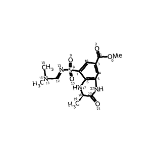 COC(=O)c1cc2c(c(S(=O)(=O)N=CN(C)C)c1)N[C@H](C)C(=O)N2